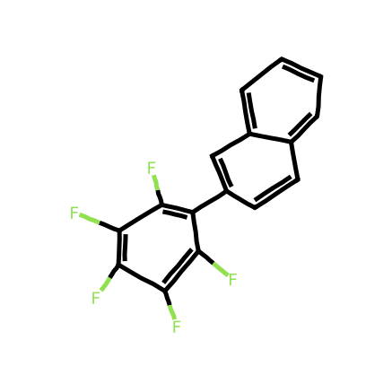 Fc1c(F)c(F)c(-c2ccc3ccccc3c2)c(F)c1F